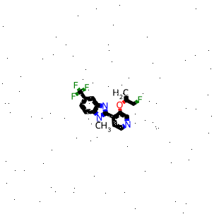 C=C(CF)Oc1cnccc1-c1nc2cc(C(F)(F)F)ccc2n1C